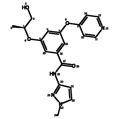 C[C@@H](CO)Oc1cc(Oc2ccncc2)cc(C(=O)Nc2ccn(C)n2)c1